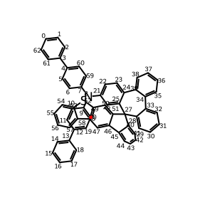 c1ccc(-c2ccc(N(c3ccc(-c4ccccc4)cc3)c3ccc4c(c3)C3(c5ccccc5-c5ccccc5-4)c4ccccc4-c4cc5c(cc43)sc3ccccc35)cc2)cc1